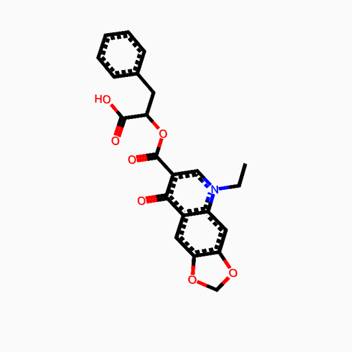 CCn1cc(C(=O)OC(Cc2ccccc2)C(=O)O)c(=O)c2cc3c(cc21)OCO3